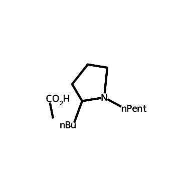 CC(=O)O.CCCCCN1CCCC1CCCC